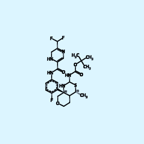 C[C@H]1SC(NC(=O)OC(C)(C)C)N[C@@]2(c3cc(NC(=O)C4=CN=C(C(F)F)CN4)ccc3F)COCCC12